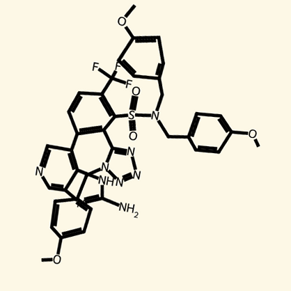 COc1ccc(CN(Cc2ccc(OC)cc2)S(=O)(=O)c2c(C(F)(F)F)ccc(-c3cncc4nc(N)[nH]c34)c2-c2nnnn2Cc2ccc(OC)cc2)cc1